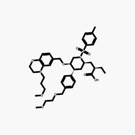 CC[C@H](C[C@H]1C[C@H](c2ccc(COCCOC)cc2)[C@@H](OCc2ccc3c(c2)N(CCCOC)CCO3)CN1S(=O)(=O)c1ccc(C)cc1)C(=O)O